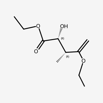 C=C(OCC)[C@H](C)[C@@H](O)C(=O)OCC